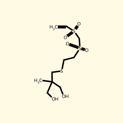 C=CS(=O)(=O)CS(=O)(=O)CCSCC(C)(CO)CO